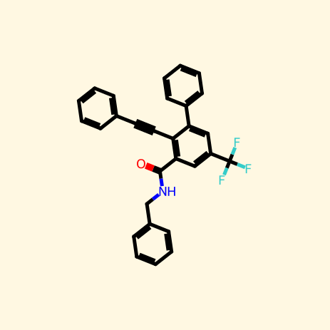 O=C(NCc1ccccc1)c1cc(C(F)(F)F)cc(-c2ccccc2)c1C#Cc1ccccc1